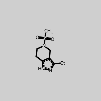 CCc1n[nH]c2c1CN(S(C)(=O)=O)CC2